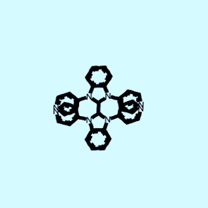 c1ccc2c(c1)N(c1ccncc1)C(C1N(c3ccncc3)c3ccccc3N1c1ccncc1)N2c1ccncc1